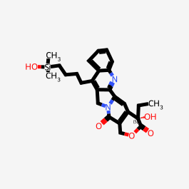 CC[C@@]1(O)C(=O)OCc2c1cc1n(c2=O)Cc2c-1nc1ccccc1c2CCCC[Si](C)(C)O